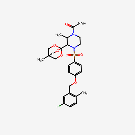 CNC(=O)N1CCN(S(=O)(=O)c2ccc(OCc3cc(F)ccc3C)cc2)C(C23OCC(C)(CO2)CO3)C1C